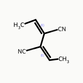 C/C=C(C#N)\C(C#N)=C/C